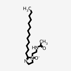 CCCCCCCCCCCCCC1=NCC[N+]1([O-])CCNC(C)=O